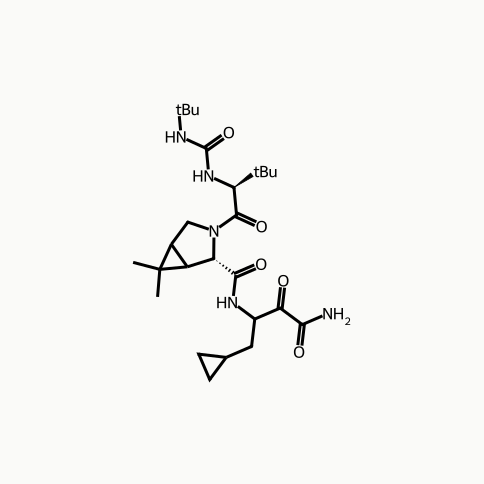 CC(C)(C)NC(=O)N[C@H](C(=O)N1CC2C([C@H]1C(=O)NC(CC1CC1)C(=O)C(N)=O)C2(C)C)C(C)(C)C